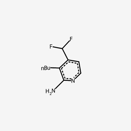 CCCCc1c(C(F)F)ccnc1N